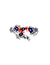 CN1C(C)(C)CC(OC(=O)C2CCC(C(=O)OC3CC(C)(C)N(C)C(C)(C)C3)C(C(=O)OC3CC(C)(C)N(C)C(C)(C)C3)C2)CC1(C)C